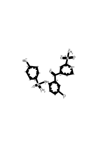 C=S(=O)(Nc1ccc(Cl)cc1C(=O)c1ccnc(S(C)(=O)=O)c1)c1ccc(C(C)(C)C)cc1